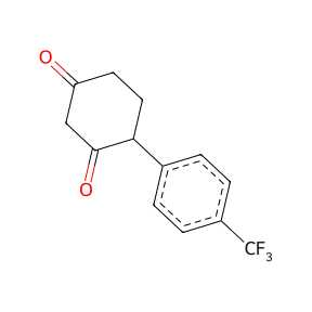 O=C1CCC(c2ccc(C(F)(F)F)cc2)C(=O)C1